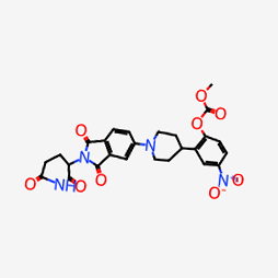 COC(=O)Oc1ccc([N+](=O)[O-])cc1C1CCN(c2ccc3c(c2)C(=O)N(C2CCC(=O)NC2=O)C3=O)CC1